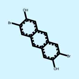 Oc1cc2cc3cc(Br)c(O)cc3cc2cc1Br